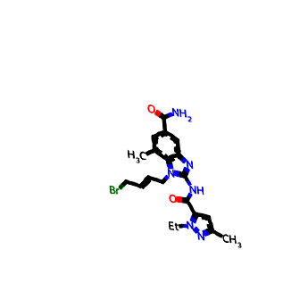 CCn1nc(C)cc1C(=O)Nc1nc2cc(C(N)=O)cc(C)c2n1CC=CCBr